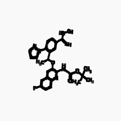 C[C@H](Oc1cc2cc(F)ccc2nc1NC(=O)OC(C)(C)C)c1cc(C(=N)NO)ccc1-n1cccn1